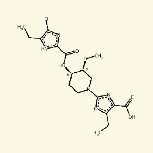 CCc1[nH]c(C(=O)N[C@@H]2CCN(c3nc(C(=O)O)c(CC)o3)C[C@@H]2OC)nc1Cl